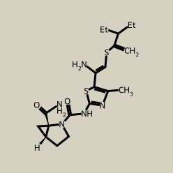 C=C(S/C=C(\N)c1sc(NC(=O)N2CC[C@@H]3C[C@@]32C(N)=O)nc1C)C(CC)CC